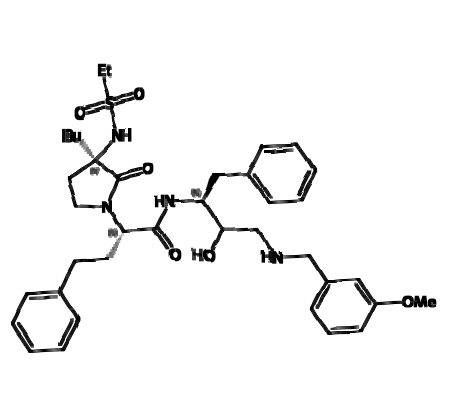 CCC(C)[C@@]1(NS(=O)(=O)CC)CCN([C@@H](CCc2ccccc2)C(=O)N[C@@H](Cc2ccccc2)C(O)CNCc2cccc(OC)c2)C1=O